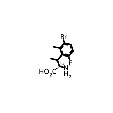 Cc1c(Br)ccc(F)c1C(C)[C@H](N)C(=O)O